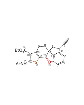 C#CCCC1(c2ccccc2)CCc2c(sc(NC(C)=O)c2C(=O)OCC)C1=O